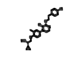 Cc1cc(-n2ccnc(OCCc3ccc(Cl)cc3)c2=O)ccc1OCC(O)C1CC1